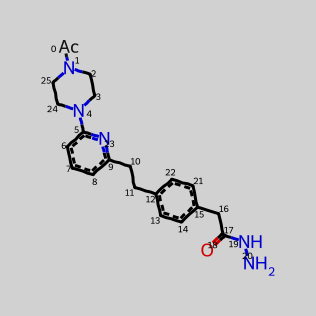 CC(=O)N1CCN(c2cccc(CCc3ccc(CC(=O)NN)cc3)n2)CC1